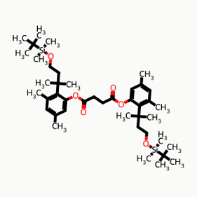 Cc1cc(C)c(C(C)(C)CCO[Si](C)(C)C(C)(C)C)c(OC(=O)CCC(=O)Oc2cc(C)cc(C)c2C(C)(C)CCO[Si](C)(C)C(C)(C)C)c1